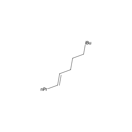 [CH2]CC(C)CCCC=CCCC